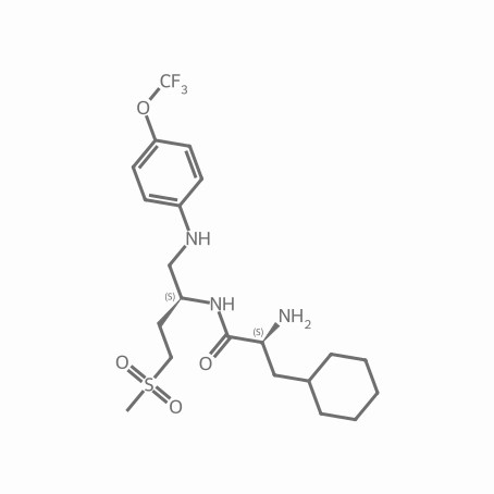 CS(=O)(=O)CC[C@@H](CNc1ccc(OC(F)(F)F)cc1)NC(=O)[C@@H](N)CC1CCCCC1